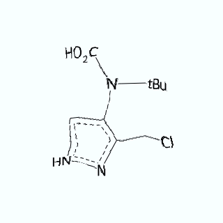 CC(C)(C)N(C(=O)O)c1c[nH]nc1Cl